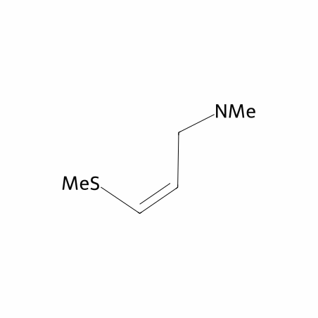 CNC/C=C\SC